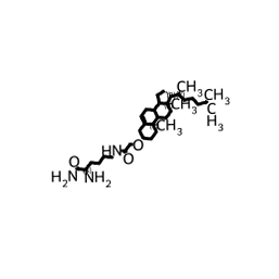 CC(C)CCC[C@@H](C)[C@H]1CCC2C3CC=C4CC(OCC(=O)NCCCC[C@H](N)C(N)=O)CC[C@]4(C)C3CC[C@@]21C